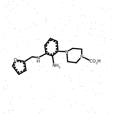 Nc1c(NCc2ccco2)cccc1N1CCN(C(=O)O)CC1